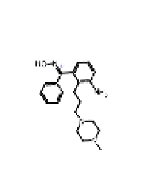 CN1CCN(CCCc2c(N)cccc2/C(=N/O)c2ccccc2)CC1